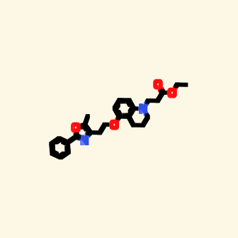 CCOC(=O)CCN1CCCc2c(OCCc3nc(-c4ccccc4)oc3C)cccc21